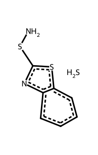 NSc1nc2ccccc2s1.S